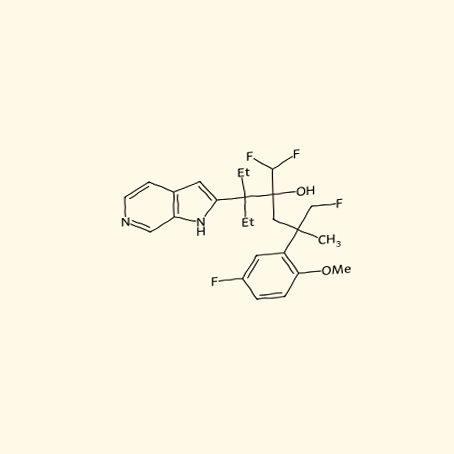 CCC(CC)(c1cc2ccncc2[nH]1)C(O)(CC(C)(CF)c1cc(F)ccc1OC)C(F)F